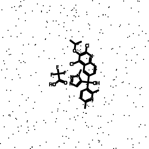 Cc1ccc(C(O)(c2ccc3nc(Cl)c(OC(C)C)c(Cl)c3c2)c2cnnn2C)c(C)n1.O=C(O)C(F)(F)F